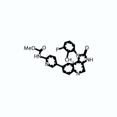 COC(=O)Nc1ccc(-c2ccc3ncc4[nH]c(=O)n(-c5cccc(F)c5C)c4c3c2)cn1